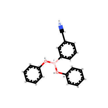 N#Cc1cccc(B(Oc2ccccc2)Oc2ccccc2)c1